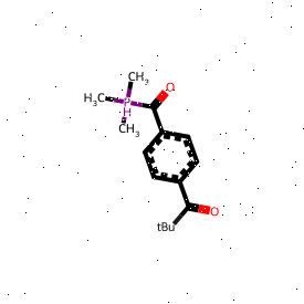 CC(C)(C)C(=O)c1ccc(C(=O)[PH](C)(C)C)cc1